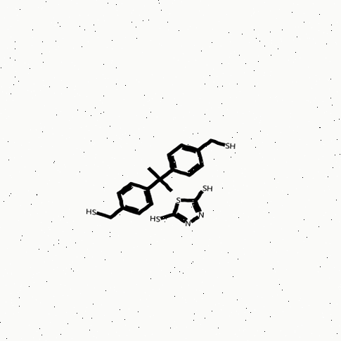 CC(C)(c1ccc(CS)cc1)c1ccc(CS)cc1.Sc1nnc(S)s1